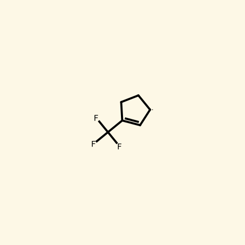 FC(F)(F)C1=C[CH]CC1